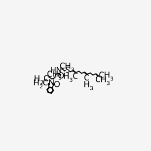 C=C(C)C(CCC(=O)NC(C)CSC/C=C(\C)CC/C=C(\C)CCC=C(C)C)N1C(=C)c2ccccc2C1=O